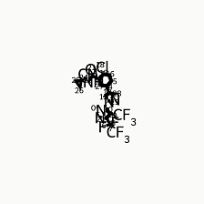 Cn1nc(C(F)(F)C(F)(F)F)c(C(F)(F)F)c1-n1cc(-c2ccc(Cl)c(C(=O)NC3(C#N)CC3)c2)cn1